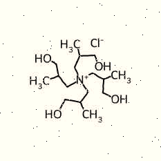 CC(CO)C[N+](CC(C)CO)(CC(C)CO)CC(C)CO.[Cl-]